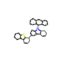 C1=Cc2c(n(-c3c4ccccc4cc4ccccc34)c3ccc(C4CC=Cc5c4sc4ccccc54)cc23)CC1